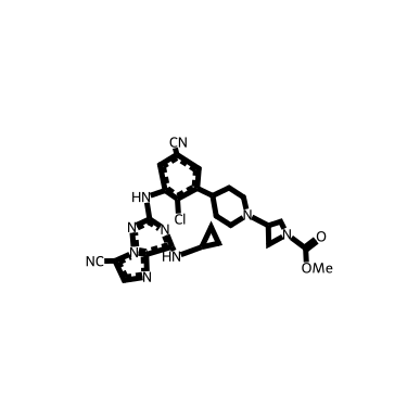 COC(=O)N1CC(N2CCC(c3cc(C#N)cc(Nc4nc(NC5CC5)c5ncc(C#N)n5n4)c3Cl)CC2)C1